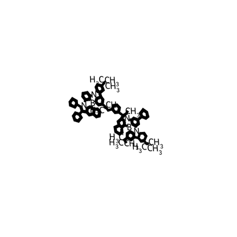 Cc1c(-c2cccc(CC(C)(C)c3cc4c5c(c3)c3cc(C(C)(C)C)ccc3n5-c3cccc5c3B4c3c4ccccc4cc4c(-c6ccccc6)c(-c6ccccc6)n-5c34)c2)c2cc3ccccc3c3c2n1-c1cc(-c2ccccc2)cc2c1B3c1cc(C(C)(C)C)cc3c1N2C1C=CC(C(C)(C)C)=CC31